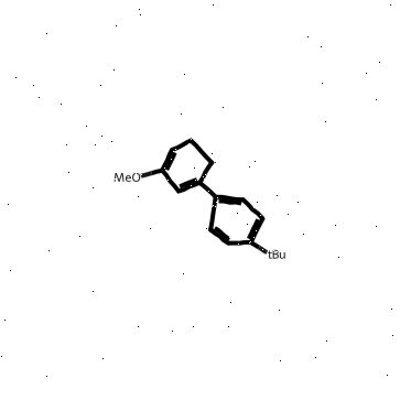 COC1=CC[CH]C(c2ccc(C(C)(C)C)cc2)=C1